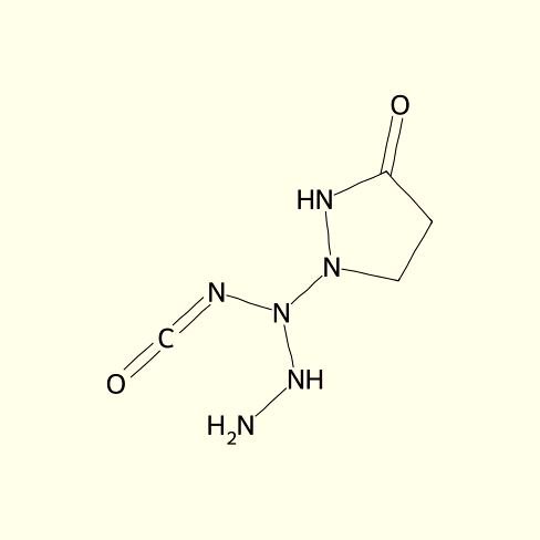 NNN(N=C=O)N1CCC(=O)N1